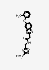 CCOC(=O)c1noc(CNC(=O)Cc2nc3ccc(Oc4ccccc4C)cc3s2)n1